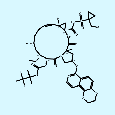 CC[C@@H]1C[C@H](C)CC/C=C\[C@@H]2C[C@@]2(C(=O)NS(=O)(=O)C2(CF)CC2)NC(=O)[C@@H]2C[C@@H](Oc3nccc4c5c(ccc34)OCCO5)CN2C(=O)[C@H]1NC(=O)OC(C)(C)C(C)(F)F